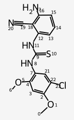 COc1cc(OC)c(NC(=S)Nc2cccc(N)c2C#N)cc1Cl